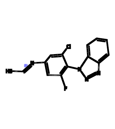 Fc1cc(/N=C/S)cc(Cl)c1-n1nnc2ccccc21